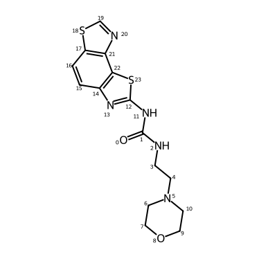 O=C(NCCN1CCOCC1)Nc1nc2ccc3scnc3c2s1